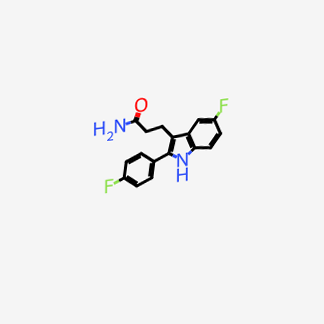 NC(=O)CCc1c(-c2ccc(F)cc2)[nH]c2ccc(F)cc12